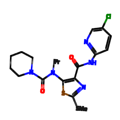 CSc1nc(C(=O)Nc2ccc(Cl)cn2)c(N(C(=O)N2CCCCC2)C(C)C)s1